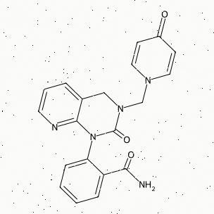 NC(=O)c1ccccc1N1C(=O)N(Cn2ccc(=O)cc2)Cc2cccnc21